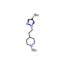 CC(C)(C)c1cnn(CCC2CCN(C(C)(C)C)CC2)c1